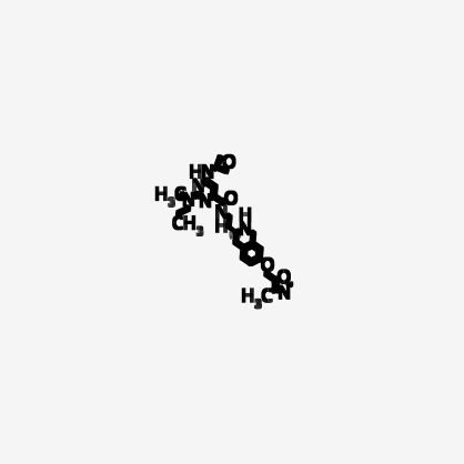 CCCN(C)c1nc(NC2COC2)cc(C(=O)NCC[C@@H]2Cc3ccc(OCc4ocnc4C)cc3CN2)n1